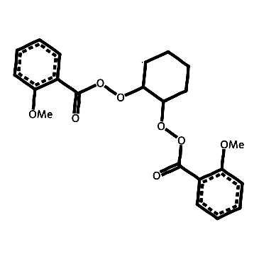 COc1ccccc1C(=O)OO[C]1CCC[CH]C1OOC(=O)c1ccccc1OC